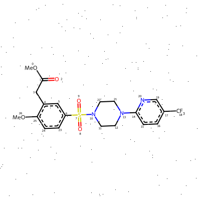 COC(=O)Cc1cc(S(=O)(=O)N2CCN(c3ccc(C(F)(F)F)cn3)CC2)ccc1OC